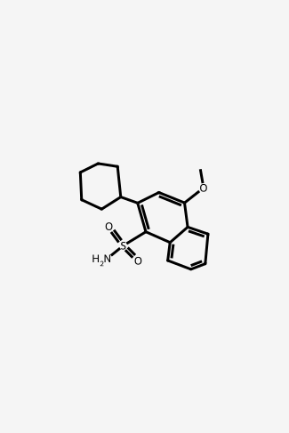 COc1cc(C2CCCCC2)c(S(N)(=O)=O)c2ccccc12